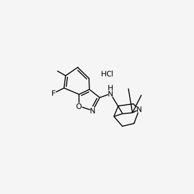 Cc1ccc2c(NC3C4CCN(CC4)C3(C)C)noc2c1F.Cl